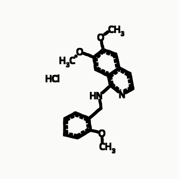 COc1ccccc1CNc1nccc2cc(OC)c(OC)cc12.Cl